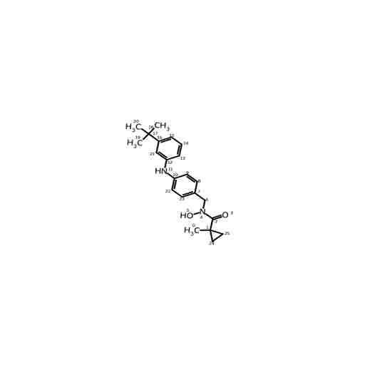 CC1(C(=O)N(O)Cc2ccc(Nc3cccc(C(C)(C)C)c3)cc2)CC1